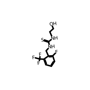 OCCNC(=S)NCc1c(F)cccc1C(F)(F)F